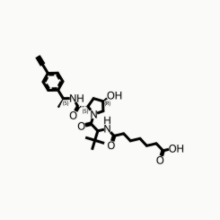 C#Cc1ccc([C@H](C)NC(=O)[C@@H]2C[C@@H](O)CN2C(=O)C(NC(=O)CCCCCC(=O)O)C(C)(C)C)cc1